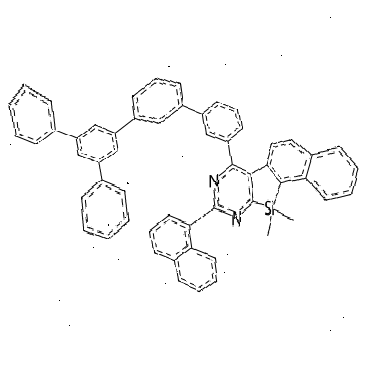 C[Si]1(C)c2nc(-c3cccc4ccccc34)nc(-c3cccc(-c4cccc(-c5cc(-c6ccccc6)cc(-c6ccccc6)c5)c4)c3)c2-c2ccc3ccccc3c21